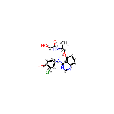 C[C@@H](COc1cccc2ncnc(Nc3ccc(O)c(Cl)c3)c12)NC(=O)CO